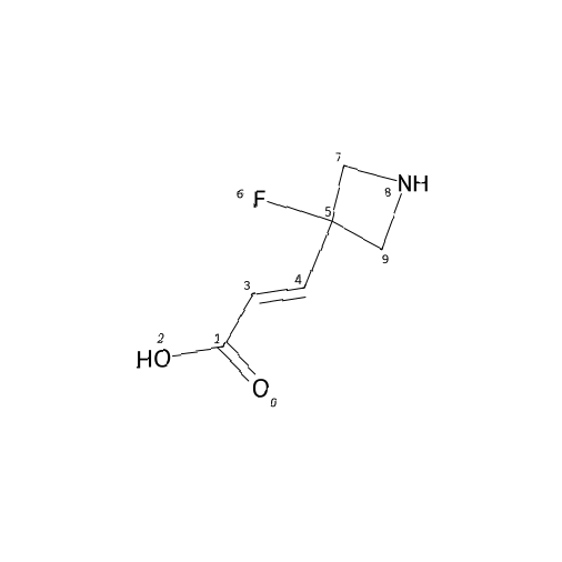 O=C(O)C=CC1(F)CNC1